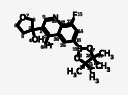 CC(C)c1c(C2(O)CCOC2)cnc2c(F)cc(B3OC(C)(C)C(C)(C)O3)cc12